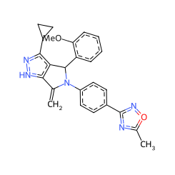 C=C1c2[nH]nc(C3CC3)c2C(c2ccccc2OC)N1c1ccc(-c2noc(C)n2)cc1